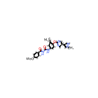 COc1ccc(C(=O)NC(=O)Nc2ccc(Oc3ncc(-c4cnn(C)c4)cn3)c(C)c2)cc1